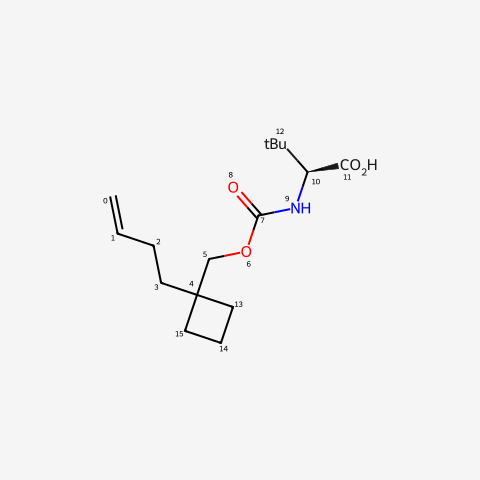 C=CCCC1(COC(=O)N[C@H](C(=O)O)C(C)(C)C)CCC1